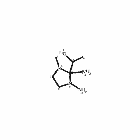 CC(O)C1(N)N(C)CCN1N